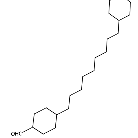 CC1CCCC(CCCCCCCCCC2CCC(C=O)CC2)C1